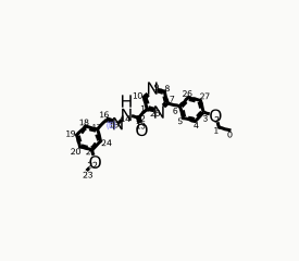 CCOc1ccc(-c2cncc(C(=O)N/N=C/c3cccc(OC)c3)n2)cc1